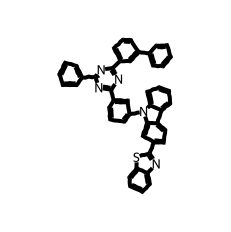 c1ccc(-c2cccc(-c3nc(-c4ccccc4)nc(-c4cccc(-n5c6ccccc6c6ccc(-c7nc8ccccc8s7)cc65)c4)n3)c2)cc1